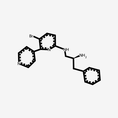 N[C@H](CNc1ccc(Br)c(-c2ccncc2)n1)Cc1ccccc1